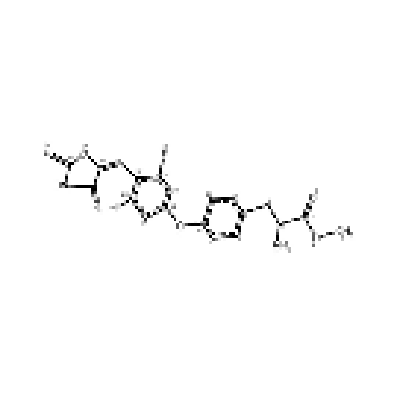 COC(=O)C(N)Cc1ccc(Oc2cc(F)c(/C=C3/OC(=O)NC3=O)c(F)c2)cc1